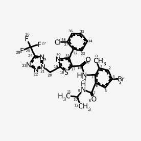 Cc1cc(Br)cc(C(=O)NC(C)C)c1NC(=O)c1sc(Cn2nnc(C(F)(F)F)n2)nc1-c1ccccc1Cl